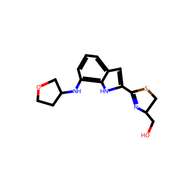 OCC1CSC(c2cc3cccc(NC4CCOC4)c3[nH]2)=N1